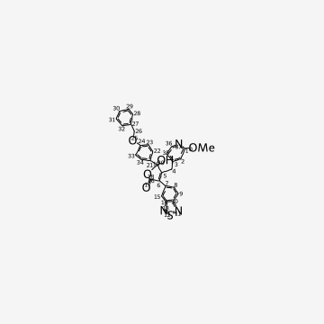 COc1cc(CC2=C(c3ccc4nsnc4c3)C(=O)OC2(O)c2ccc(OCc3ccccc3)cc2)ccn1